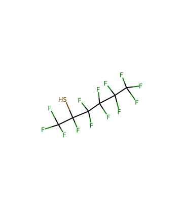 FC(F)(F)C(F)(F)C(F)(F)C(F)(F)C(F)(S)C(F)(F)F